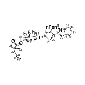 CCCCCn1c(-c2ccc(OCC(F)(F)C(F)(F)C(F)(F)COC(=O)C(C)(C)CCC(C)C)cc2)cc2ccccc21